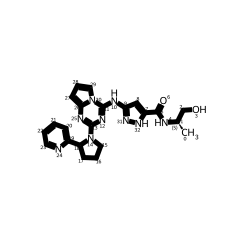 C[C@@H](CO)NC(=O)c1cc(Nc2nc(N3CCCC3c3ccccn3)nc3cccn23)n[nH]1